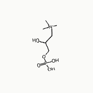 C[N+](C)(C)CC(O)COP(=O)(O)O